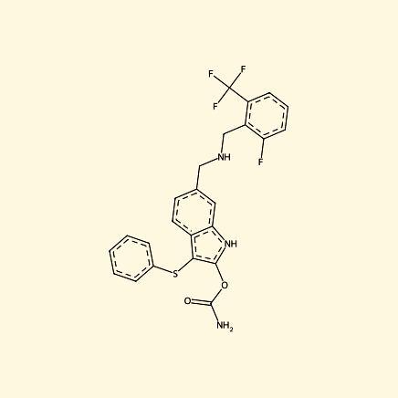 NC(=O)Oc1[nH]c2cc(CNCc3c(F)cccc3C(F)(F)F)ccc2c1Sc1ccccc1